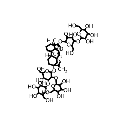 C=C1C[C@@]23CC[C@@H]4C(C)(C(=O)OC5OC(CO)C(OC6OC(CO)C(O)C(O)C6O)C(O)C5=O)CCC[C@@]4(C)[C@@H]2CC[C@]1(OC1OC(CO)C(O)C(OC2OC(CO)C(O)C(O)C2O)C1OC1OC(CO)C(O)C(O)C1O)C3